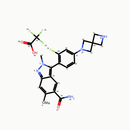 COc1cc2nn(C)c(-c3ccc(N4CC5(CNC5)C4)cc3F)c2cc1C(N)=O.O=C(O)C(F)(F)F